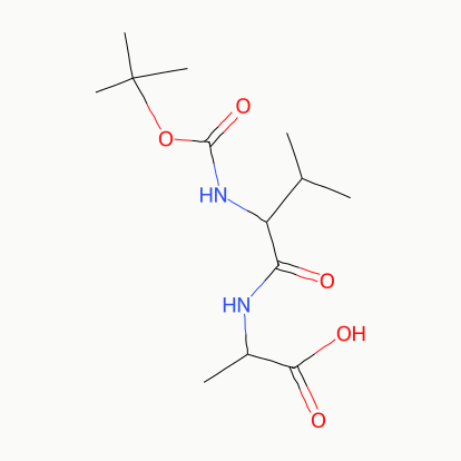 CC(NC(=O)C(NC(=O)OC(C)(C)C)C(C)C)C(=O)O